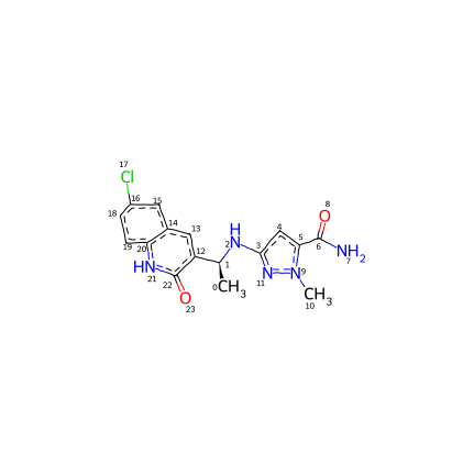 C[C@H](Nc1cc(C(N)=O)n(C)n1)c1cc2cc(Cl)ccc2[nH]c1=O